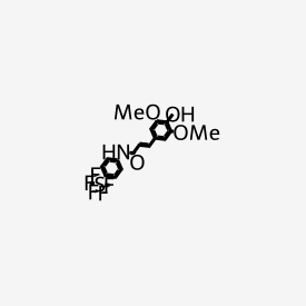 COc1cc(C=CC(=O)Nc2ccc(S(F)(F)(F)(F)F)cc2)cc(OC)c1O